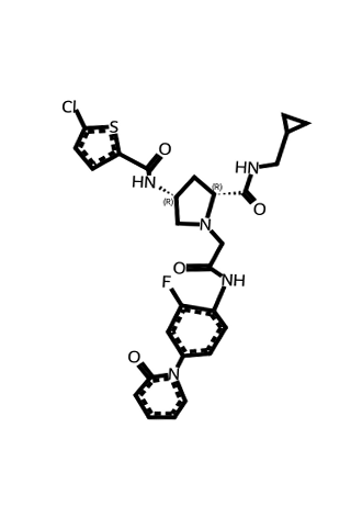 O=C(CN1C[C@H](NC(=O)c2ccc(Cl)s2)C[C@@H]1C(=O)NCC1CC1)Nc1ccc(-n2ccccc2=O)cc1F